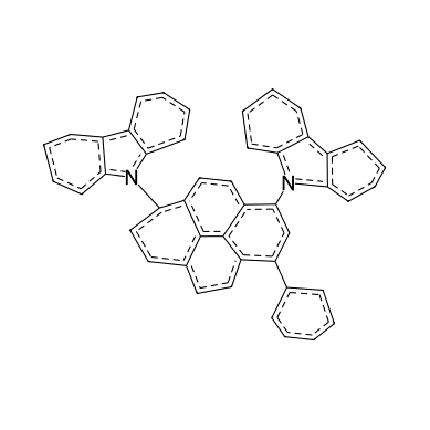 c1ccc(-c2cc(-n3c4ccccc4c4ccccc43)c3ccc4c(-n5c6ccccc6c6ccccc65)ccc5ccc2c3c54)cc1